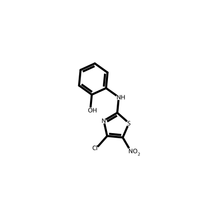 O=[N+]([O-])c1sc(Nc2ccccc2O)nc1Cl